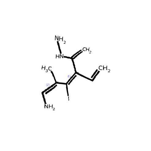 C=C/C(C(=C)NN)=C(I)/C(C)=C\N